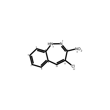 O=[N+]([O-])C1=NNc2ccccc2C=C1Cl